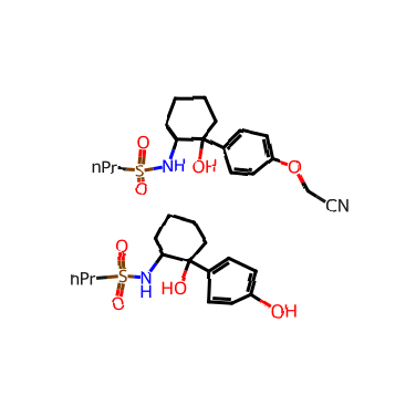 CCCS(=O)(=O)NC1CCCCC1(O)c1ccc(O)cc1.CCCS(=O)(=O)NC1CCCCC1(O)c1ccc(OCC#N)cc1